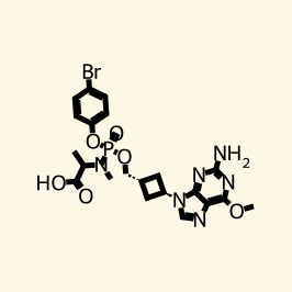 COc1nc(N)nc2c1ncn2[C@H]1C[C@@H](COP(=O)(Oc2ccc(Br)cc2)N(C)C(C)C(=O)O)C1